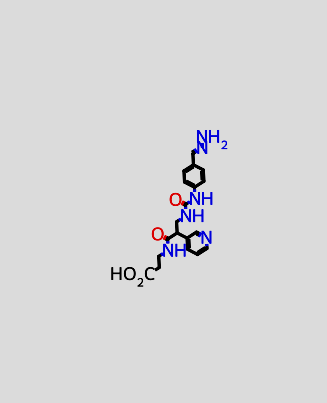 NN=Cc1ccc(NC(=O)NCC(C(=O)NCCC(=O)O)c2cccnc2)cc1